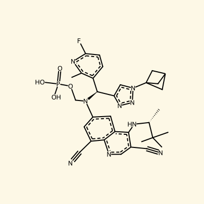 Cc1nc(F)ccc1[C@@H](c1cn(C23CC(C2)C3)nn1)N(COP(=O)(O)O)c1cc(C#N)c2ncc(C#N)c(N[C@H](C)C(C)(C)C)c2c1